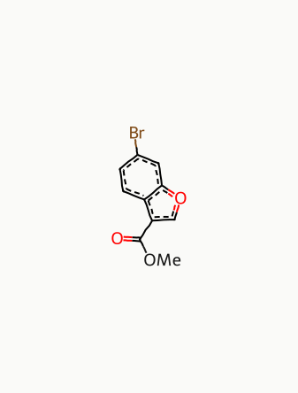 COC(=O)c1coc2cc(Br)ccc12